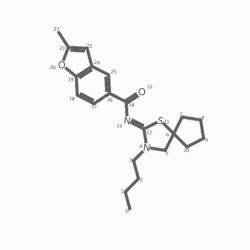 CCCCN1CC2(CCCC2)SC1=NC(=O)c1ccc2oc(C)cc2c1